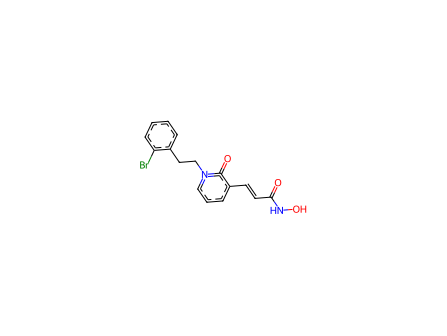 O=C(/C=C/c1cccn(CCc2ccccc2Br)c1=O)NO